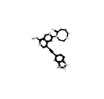 CNc1ncc(C#Cc2ccc3nn[nH]c3c2)c2cc(N3CCOCCCC3=O)ncc12